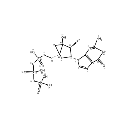 Nc1nc2c(ncn2[C@@H]2O[C@@]3(COP(=O)(O)OP(=O)(O)OP(=O)(O)O)C[C@]3(O)[C@H]2F)c(=O)[nH]1